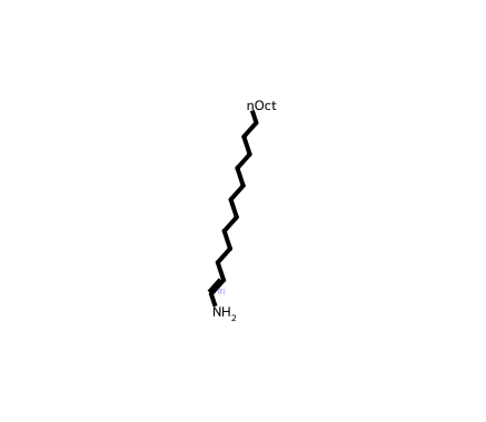 CCCCCCCCCCCCCCCCCC/C=C/N